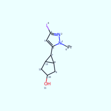 CC(C)n1nc(I)cc1C1C2CC(O)CC21